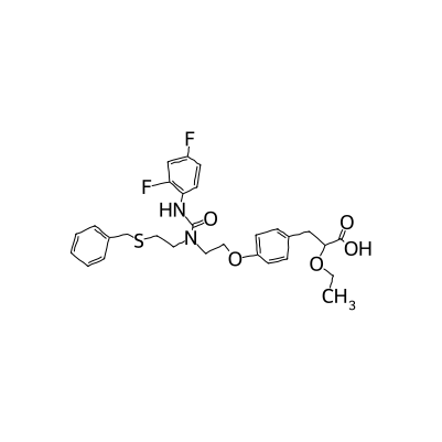 CCOC(Cc1ccc(OCCN(CCSCc2ccccc2)C(=O)Nc2ccc(F)cc2F)cc1)C(=O)O